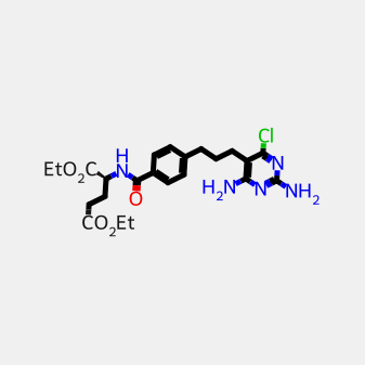 CCOC(=O)CC[C@H](NC(=O)c1ccc(CCCc2c(N)nc(N)nc2Cl)cc1)C(=O)OCC